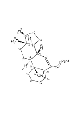 CCCCCOC1=C[C@H]2[C@@H]3CC[C@H](CC)[C@@]3(C)CC[C@@H]2[C@@]2(C)CCCC=C12